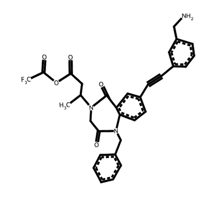 CC(CC(=O)OC(=O)C(F)(F)F)N1CC(=O)N(Cc2ccccc2)c2ccc(C#Cc3cccc(CN)c3)cc2C1=O